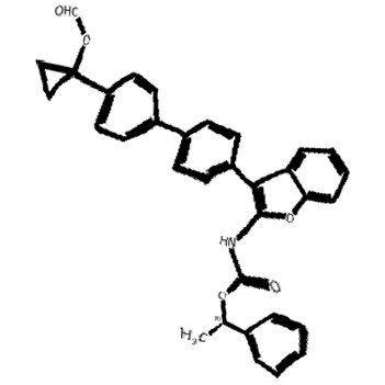 C[C@@H](OC(=O)Nc1oc2ccccc2c1-c1ccc(-c2ccc(C3(OC=O)CC3)cc2)cc1)c1ccccc1